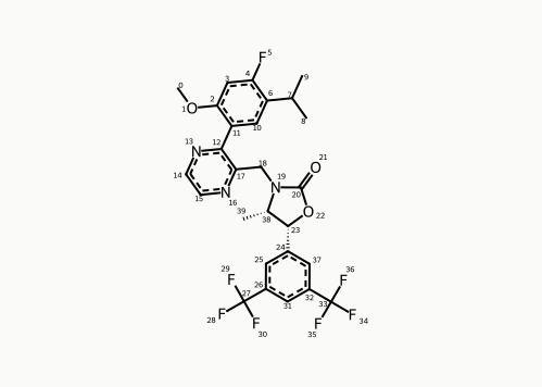 COc1cc(F)c(C(C)C)cc1-c1nccnc1CN1C(=O)O[C@H](c2cc(C(F)(F)F)cc(C(F)(F)F)c2)[C@@H]1C